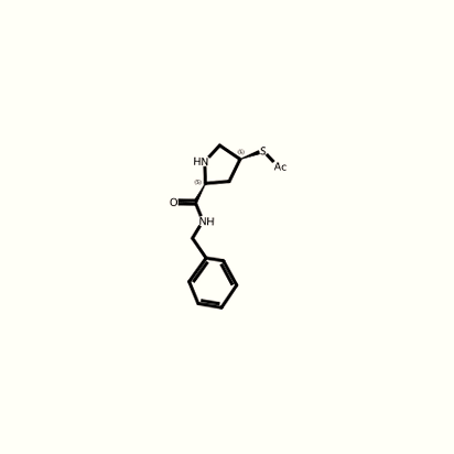 CC(=O)S[C@@H]1CN[C@H](C(=O)NCc2ccccc2)C1